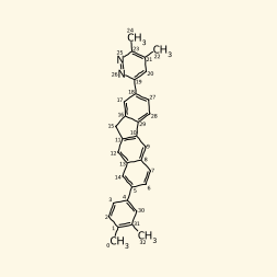 Cc1ccc(-c2ccc3cc4c(cc3c2)Cc2cc(-c3cc(C)c(C)nn3)ccc2-4)cc1C